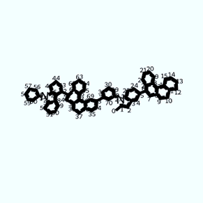 Cc1cc2cc(-c3cc4ccc5ccccc5c4c4ccccc34)ccc2n1-c1cccc(-c2ccc3ccc4cc(-c5cccc6c5c5ccccc5n6-c5ccccc5)c5ccccc5c4c3c2)c1